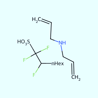 C=CCNCC=C.CCCCCCC(F)C(F)(F)S(=O)(=O)O